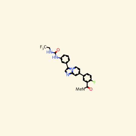 CNC(=O)c1cc(-c2ccn3c(-c4cccc(NC(=O)NCC(F)(F)F)c4)cnc3c2)ccc1F